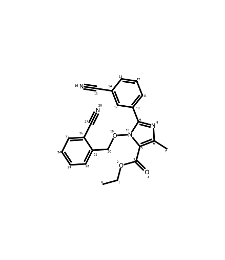 CCOC(=O)c1c(C)nc(-c2cccc(C#N)c2)n1OCc1ccccc1C#N